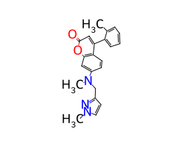 Cc1ccccc1-c1cc(=O)oc2cc(N(C)Cc3ccn(C)n3)ccc12